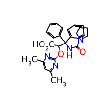 Cc1cc(C)nc(OC(C(=O)O)C(NC(=O)N2CCCC2)(c2ccccc2)c2ccccc2)n1